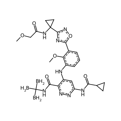 BC(B)(B)NC(=O)c1nnc(NC(=O)C2CC2)cc1Nc1cccc(-c2nc(C3(NC(=O)COC)CC3)no2)c1OC